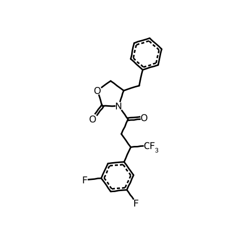 O=C(CC(c1cc(F)cc(F)c1)C(F)(F)F)N1C(=O)OCC1Cc1ccccc1